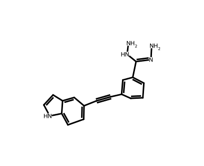 N/N=C(\NN)c1cccc(C#Cc2ccc3[nH]ccc3c2)c1